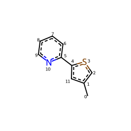 Cc1csc(-c2ccccn2)c1